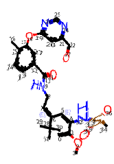 C=C(OC)/C(=C\C(=C/CNC(=O)c1ccc(C)c(Oc2cc(C=O)ncn2)c1)C(C)(C)C)NS(C)(=O)=O